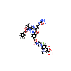 CCn1cc(C(=O)O)c(=O)c2cc(F)c(N3CCN(C(=O)OCc4ccc(NC(=O)C(CCCNC(N)=O)n5cc([C@@H](NC(=O)OCc6ccccc6)C6CC6)nn5)cc4)CC3)cc21